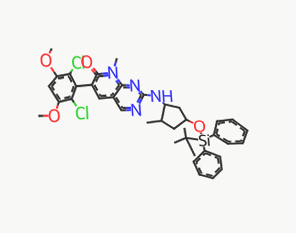 COc1cc(OC)c(Cl)c(-c2cc3cnc(NC4CC(O[Si](c5ccccc5)(c5ccccc5)C(C)(C)C)CC4C)nc3n(C)c2=O)c1Cl